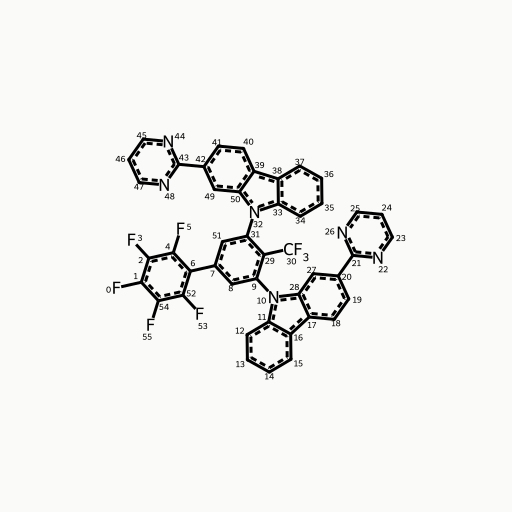 Fc1c(F)c(F)c(-c2cc(-n3c4ccccc4c4ccc(-c5ncccn5)cc43)c(C(F)(F)F)c(-n3c4ccccc4c4ccc(-c5ncccn5)cc43)c2)c(F)c1F